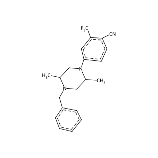 CC1CN(c2ccc(C#N)c(C(F)(F)F)c2)C(C)CN1Cc1ccccc1